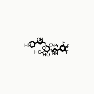 CC(C)O[C@@H]1[C@@H](n2cc(-c3cc(F)c(F)c(F)c3)nn2)[C@@H](O)[C@@H](CO)O[C@@H]1Cc1cc(C2CCNCC2)on1